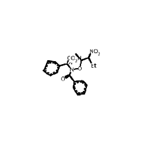 CCC(C(C)ON(C(=O)c1ccccc1)[C@H](C(=O)O)c1ccccc1)[N+](=O)[O-]